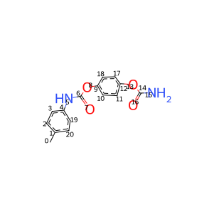 Cc1ccc(NC(=O)Oc2ccc(OC(N)=O)cc2)cc1